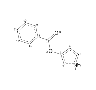 O=C(Oc1cc[nH]c1)c1ccccc1